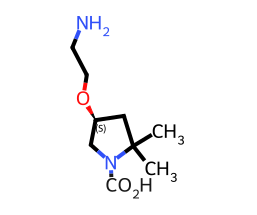 CC1(C)C[C@H](OCCN)CN1C(=O)O